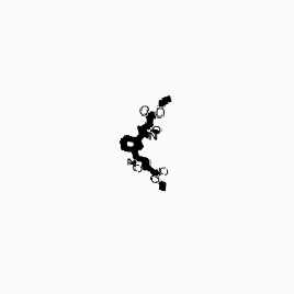 CCOC(=O)c1cc(-c2cccc(-c3cc(C(=O)OCC)on3)c2)no1